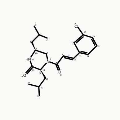 CC(C)C[C@H]1CN(C(=O)/C=C/c2cccc(Cl)c2)[C@@H](CC(C)C)C(=O)N1